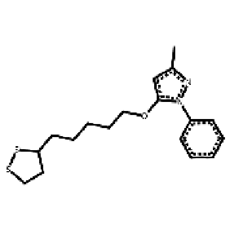 Cc1cc(OCCCCCC2CCSS2)n(-c2ccccc2)n1